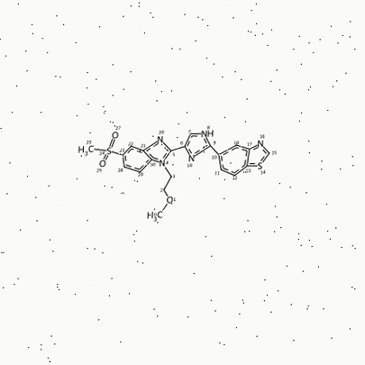 COCCn1c(-c2c[nH]c(-c3ccc4scnc4c3)n2)nc2cc(S(C)(=O)=O)ccc21